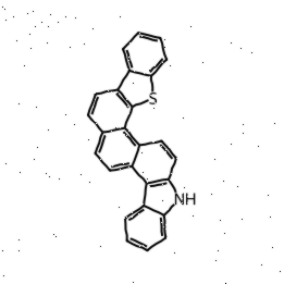 c1ccc2c(c1)[nH]c1ccc3c(ccc4ccc5c6ccccc6sc5c43)c12